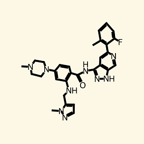 Cc1cccc(F)c1-c1cc2c(NC(=O)c3ccc(N4CCN(C)CC4)cc3NCc3ccnn3C)n[nH]c2cn1